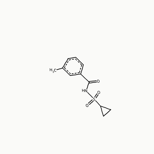 Cc1cccc(C(=O)NS(=O)(=O)C2CC2)c1